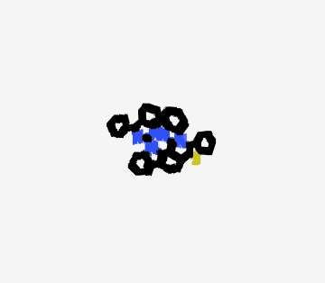 c1ccc(-c2nc(-n3c4ccccc4c4ccc5c6sc7ccccc7c6n6c7ccccc7nc6c5c43)nc3ccccc23)cc1